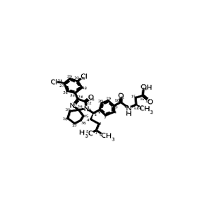 CC(C)CC[C@H](c1ccc(C(=O)N[C@H](C)CC(=O)O)cc1)N1C(=O)C(c2cc(Cl)cc(Cl)c2)=NC12CCCCC2